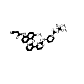 Cc1ccc2c(NC(=O)CC#N)cccc2c1Oc1ncccc1-c1ccnc(N[C@H]2CCCN(C(=O)OC(C)(C)C)C2)n1